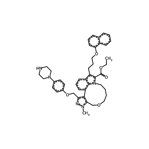 CCOC(=O)c1c(CCCOc2cccc3ccccc23)c2cccc3c2n1CCCCOCc1c-3c(COc2ccc(N3CCNCC3)cc2)nn1C